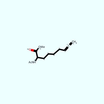 C=C=CCCCCC(NC(C)=O)C(=O)OC